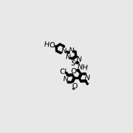 COc1cnc(Cl)cc1-c1cc(C)ncc1C(=O)Nc1nc2cnc(N3CCC(O)CC3)nc2s1